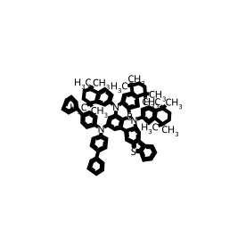 CC1(C)CCC(C)(C)c2cc(N3B4c5cc6c(cc5N(c5ccc7c(c5)C(C)(C)CCC7(C)C)c5cc(N(c7ccc(-c8ccccc8)cc7)c7ccc(-c8ccccc8)cc7)cc(c54)-c4cc5sc7ccccc7c5cc43)C(C)(C)CCC6(C)C)ccc21